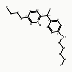 CCCCCOc1ccc(C(C)c2ccc(CCCC)cn2)cc1